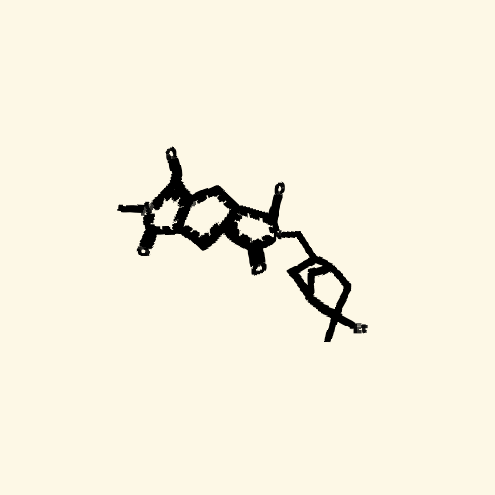 CCC1(C)CC2CC1CC2Cn1c(=O)c2cc3c(=O)n(C)c(=O)c3cc2c1=O